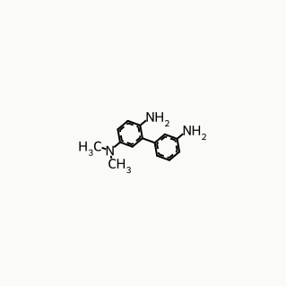 CN(C)c1ccc(N)c(-c2cccc(N)c2)c1